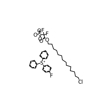 Fc1ccc([S+](c2ccccc2)c2ccccc2)cc1.O=C(OCCCCCCCCCCCCCCCl)C(F)(F)S(=O)(=O)[O-]